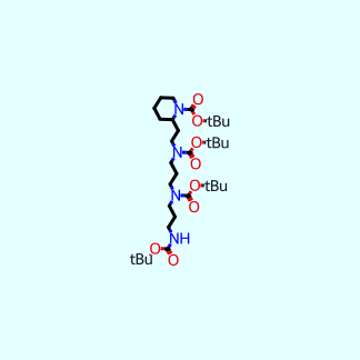 CC(C)(C)OC(=O)NCCCN(CCCN(CCC1CCCCN1C(=O)OC(C)(C)C)C(=O)OC(C)(C)C)C(=O)OC(C)(C)C